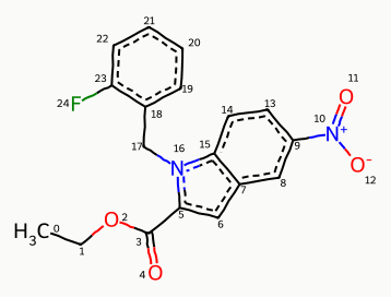 CCOC(=O)c1cc2cc([N+](=O)[O-])ccc2n1Cc1ccccc1F